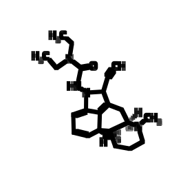 C#CC1C2=C3C(=CC=CC3(C)[C@H]3CCCN(C)[C@@H]3C2)N1NC(=O)N(CC)CC